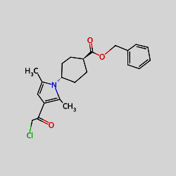 Cc1cc(C(=O)CCl)c(C)n1[C@H]1CC[C@H](C(=O)OCc2ccccc2)CC1